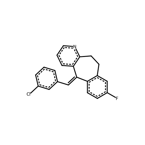 Fc1ccc2c(c1)CCc1ncccc1/C2=C\c1cccc(Cl)c1